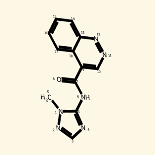 Cn1ncnc1NC(=O)c1cnnc2ccccc12